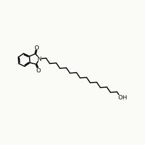 O=C1c2ccccc2C(=O)N1CCCCCCCCCCCCCCCO